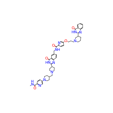 CNC(=O)c1ccc(N2CCC(CN3CCC(c4nc5ccc(CNC(=O)c6ccc(OCCCN7CCCC(c8nc9ccccc9c(=O)[nH]8)C7)cn6)cc5c(=O)[nH]4)CC3)CC2)cn1